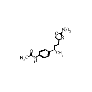 CC(=O)Nc1ccc(C(C)CCC2COC(N)=N2)cc1